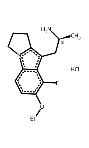 CCOc1ccc2c(c1F)c(C[C@H](C)N)c1n2CCC1.Cl